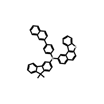 CC1(C)c2ccccc2-c2cc(N(c3ccc(-c4ccc5ccccc5c4)cc3)c3ccc4ccc5sc6ccccc6c5c4c3)ccc21